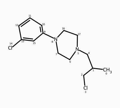 CC(CCl)CN1CCN(c2cccc(Cl)c2)CC1